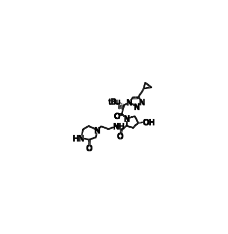 CC(C)(C)[C@@H](C(=O)N1CC(O)CC1C(=O)NCCN1CCNC(=O)C1)n1cc(C2CC2)nn1